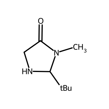 CN1C(=O)CNC1C(C)(C)C